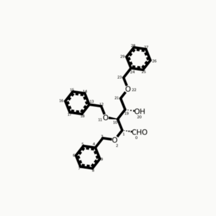 O=C[C@H](OCc1ccccc1)[C@@H](OCc1ccccc1)[C@@H](O)COCc1ccccc1